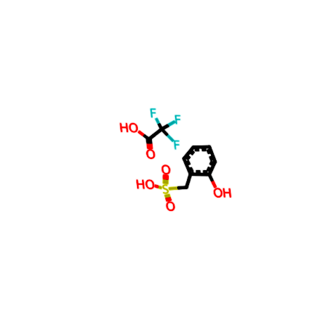 O=C(O)C(F)(F)F.O=S(=O)(O)Cc1ccccc1O